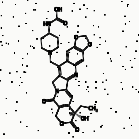 CC[C@@]1(O)C(=O)OCc2c1cc1n(c2=O)Cc2c-1nc1cc3c(cc1c2CN1CCC(NC(=O)O)CC1)OCO3